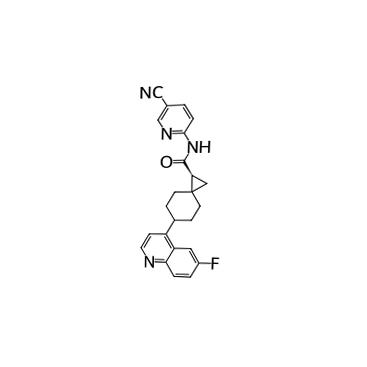 N#Cc1ccc(NC(=O)[C@H]2CC23CCC(c2ccnc4ccc(F)cc24)CC3)nc1